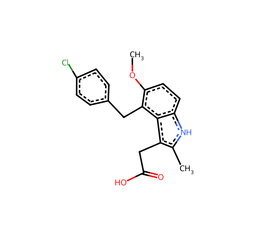 COc1ccc2[nH]c(C)c(CC(=O)O)c2c1Cc1ccc(Cl)cc1